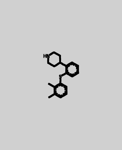 Cc1cccc(Sc2ccccc2C2CCNCC2)c1C